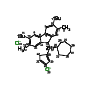 Cc1cc2c(cc1C(C)(C)C)-c1cc(C(C)(C)C)c(C)cc1[CH]2[Zr+2]([C]1=CC=CC1)=[C]1CCCCCC1.[Cl-].[Cl-]